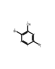 N#Cc1cc(Br)ccc1Br